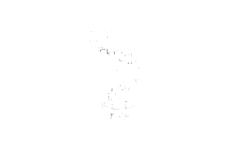 C[C@@](O)(C(=O)Nc1ccc(S(=O)(=O)NC(=O)Cc2ccccc2Cl)cc1Cl)C(F)(F)F